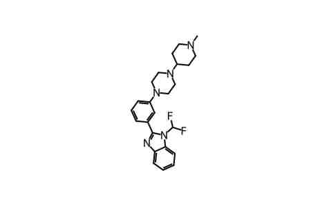 CN1CCC(N2CCN(c3cccc(-c4nc5ccccc5n4C(F)F)c3)CC2)CC1